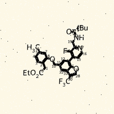 CCOC(=O)Cc1ccc(C)cc1OCc1cc(-c2ccnc(CN[S+]([O-])C(C)(C)C)c2F)c2occ(C(F)(F)F)c2c1